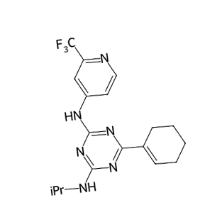 CC(C)Nc1nc(Nc2ccnc(C(F)(F)F)c2)nc(C2=CCCCC2)n1